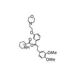 COc1ccc(CC[C@@H](OC(=O)[C@@H]2CCCCN2)c2cccc(OCCN3CCOCC3)c2)cc1OC